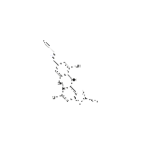 Cc1nc2c(Nc3c(C)cc(/C=C/C#N)cc3C)nc(Cl)nc2s1